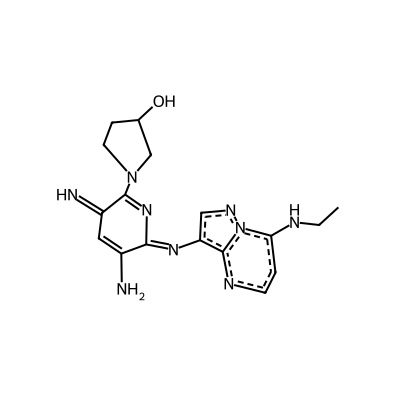 CCNc1ccnc2c(/N=C3\N=C(N4CCC(O)C4)C(=N)C=C3N)cnn12